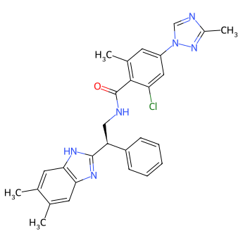 Cc1ncn(-c2cc(C)c(C(=O)NC[C@@H](c3ccccc3)c3nc4cc(C)c(C)cc4[nH]3)c(Cl)c2)n1